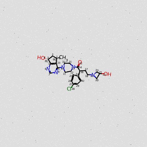 C[C@@H]1C[C@@H](O)c2ncnc(N3CCN(C(=O)C(CCN4CC(O)C4)c4ccc(Cl)cc4)CC3)c21